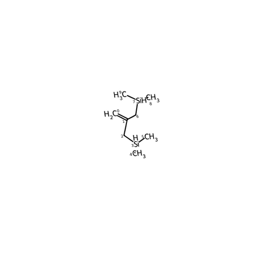 C=C(C[SiH](C)C)C[SiH](C)C